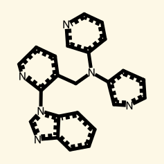 c1cncc(N(Cc2cccnc2-n2cnc3ccccc32)c2cccnc2)c1